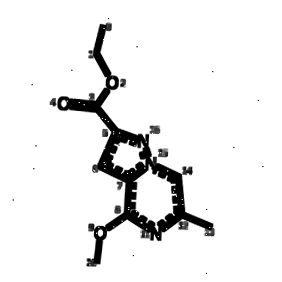 CCOC(=O)c1cc2c(OC)nc(C)cn2n1